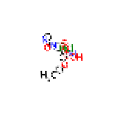 Cc1ccc(Oc2ccc(C3(CC(=O)NO)CCN(C(=O)c4ccccn4)CCS3(=O)=O)cc2)cc1.Cl